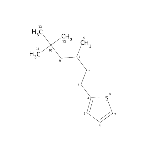 CC(CCc1cccs1)CC(C)(C)C